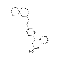 O=C(O)CC(c1ccccc1)c1ccc(OCC2CCCC3(CCCCC3)C2)cc1